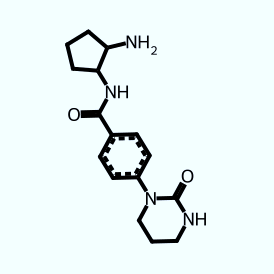 NC1CCCC1NC(=O)c1ccc(N2CCCNC2=O)cc1